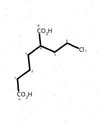 O=C(O)CCCC(CCCl)C(=O)O